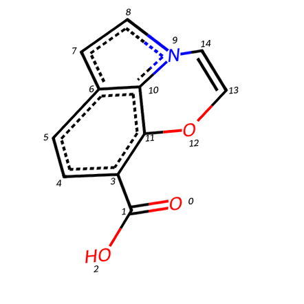 O=C(O)c1ccc2ccn3c2c1OC=C3